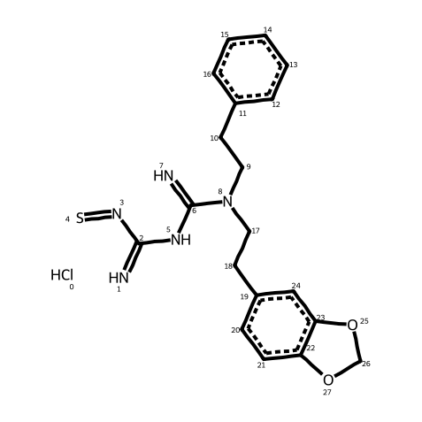 Cl.N=C(N=S)NC(=N)N(CCc1ccccc1)CCc1ccc2c(c1)OCO2